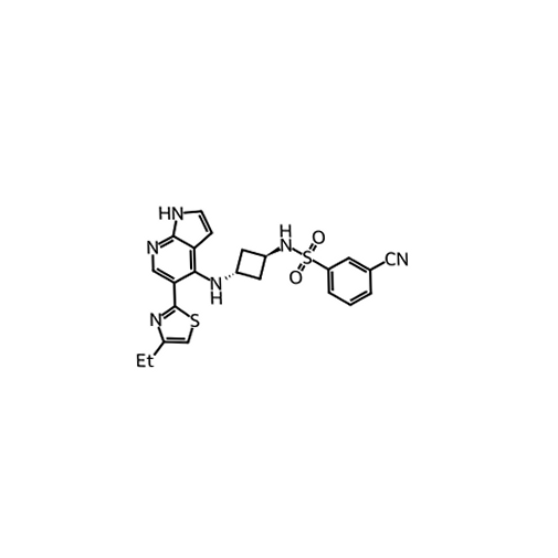 CCc1csc(-c2cnc3[nH]ccc3c2N[C@H]2C[C@H](NS(=O)(=O)c3cccc(C#N)c3)C2)n1